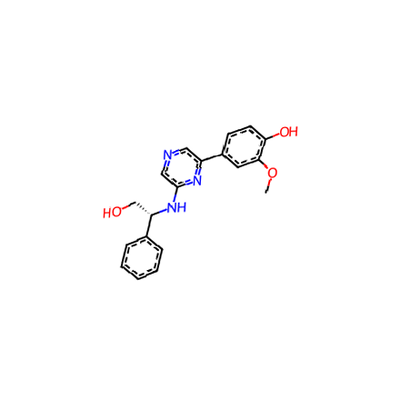 COc1cc(-c2cncc(N[C@@H](CO)c3ccccc3)n2)ccc1O